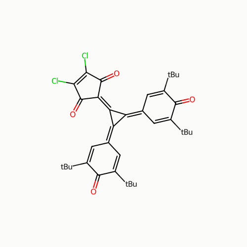 CC(C)(C)C1=CC(=C2C(=C3C=C(C(C)(C)C)C(=O)C(C(C)(C)C)=C3)C2=C2C(=O)C(Cl)=C(Cl)C2=O)C=C(C(C)(C)C)C1=O